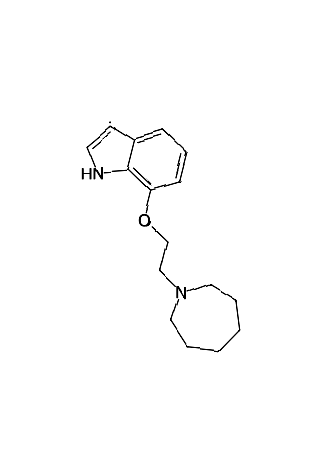 [c]1c[nH]c2c(OCCN3CCCCCC3)cccc12